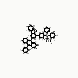 CC(C)(C)[Si](c1ccccc1)(c1ccccc1)c1ccc(-c2cc(-c3c4ccccc4c(-c4ccccc4)c4ccccc34)cc3c2oc2ccccc23)cc1